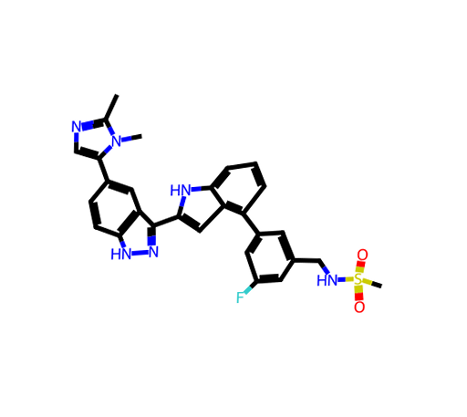 Cc1ncc(-c2ccc3[nH]nc(-c4cc5c(-c6cc(F)cc(CNS(C)(=O)=O)c6)cccc5[nH]4)c3c2)n1C